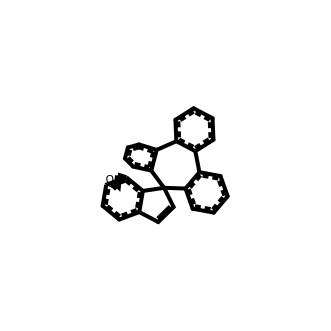 C1=CC2(c3ccccc3-c3ccccc3-c3ccccc32)c2c1ccc1occc21